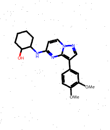 COc1ccc(-c2cnn3ccc(NC4CCCCC4O)nc23)cc1OC